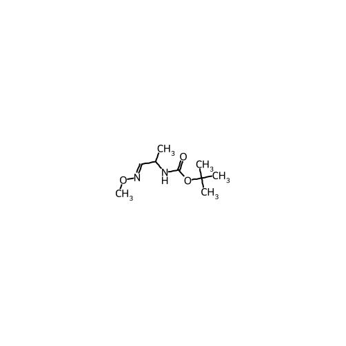 CON=CC(C)NC(=O)OC(C)(C)C